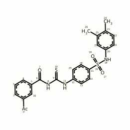 CC(=O)c1cccc(C(=O)NC(=S)Nc2ccc(S(=O)(=O)Nc3ccc(C)c(C)c3)cc2)c1